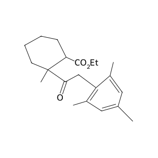 CCOC(=O)C1CCCCC1(C)C(=O)Cc1c(C)cc(C)cc1C